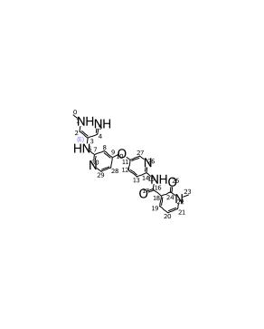 CN/C=C(\C=N)Nc1cc(Oc2ccc(NC(=O)c3cccn(C)c3=O)nc2)ccn1